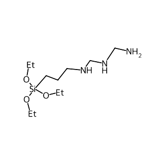 CCO[Si](CCCNCNCN)(OCC)OCC